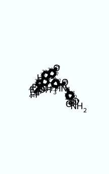 C[C@]12C[C@H](c3ccc(C(=O)NCc4ccc(S(N)(=O)=O)cc4)cc3)C3=C4CCC(=O)C=C4CC[C@H]3[C@@H]1CC[C@@]2(O)C(F)(F)C(F)(F)F